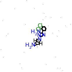 C[C@@]1(CN)C[C@H]2CN(c3cnc(-c4cccc(Cl)c4Cl)c(N)n3)C[C@H]2C1